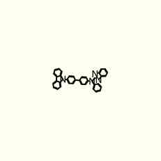 c1ccc2c(c1)nc1n(-c3ccc(-c4ccc(-n5c6ccccc6c6ccccc65)cc4)cc3)c3ccccc3n21